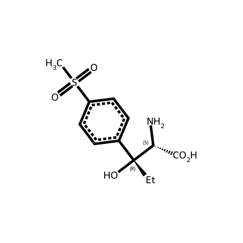 CC[C@@](O)(c1ccc(S(C)(=O)=O)cc1)[C@H](N)C(=O)O